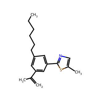 C=C(C)c1cc(CCCCCC)cc(-c2ncc(C)s2)c1